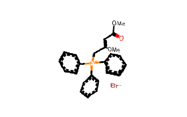 COC(=O)/C=C(/C[P+](c1ccccc1)(c1ccccc1)c1ccccc1)OC.[Br-]